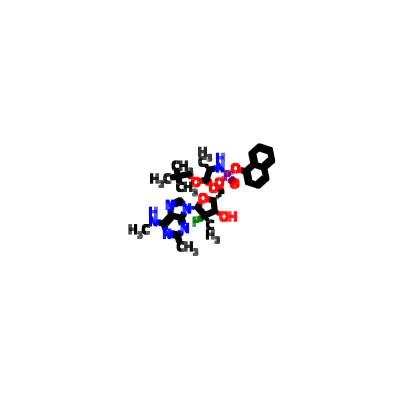 CNc1nc(C)nc2c1ncn2[C@@H]1O[C@H](CO[P@@](=O)(N[C@@H](C)C(=O)OCC(C)(C)C)Oc2cccc3ccccc23)[C@@H](O)[C@@]1(C)F